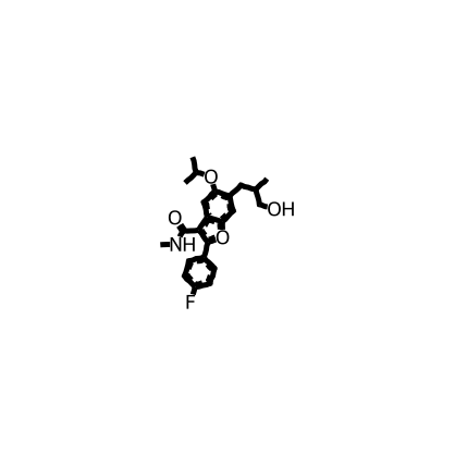 CNC(=O)c1c(-c2ccc(F)cc2)oc2cc(CC(C)CO)c(OC(C)C)cc12